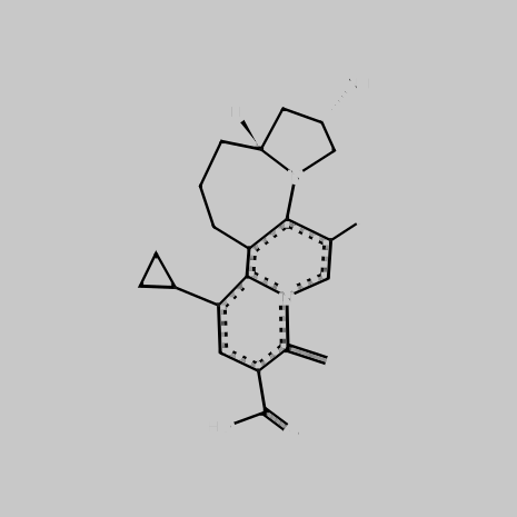 N[C@H]1C[C@H]2CCCc3c(c(F)cn4c(=O)c(C(=O)O)cc(C5CC5)c34)N2C1